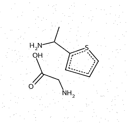 CC(N)c1cccs1.NCC(=O)O